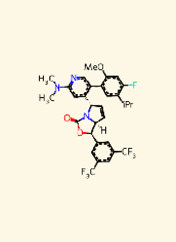 COc1cc(F)c(C(C)C)cc1-c1cnc(N(C)C)cc1[C@@H]1C=C[C@H]2[C@@H](c3cc(C(F)(F)F)cc(C(F)(F)F)c3)OC(=O)N12